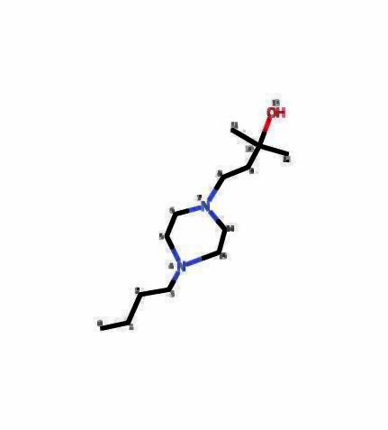 CCCCN1CCN(CCC(C)(C)O)CC1